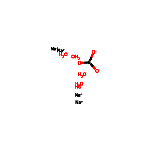 O.O.O.O.[Na+].[Na+].[Na+].[Na+].[O-]B([O-])[O-].[OH-]